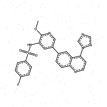 COc1ncc(-c2ccc3nccc(-n4cncn4)c3c2)cc1NS(=O)(=O)c1ccc(F)cc1